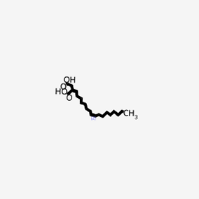 CCCCCCCC/C=C\CCCCCCC=C(CC(=O)O)C(=O)O